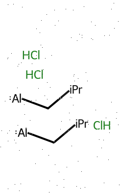 CC(C)[CH2][Al].CC(C)[CH2][Al].Cl.Cl.Cl